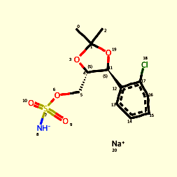 CC1(C)O[C@@H](COS([NH-])(=O)=O)[C@H](c2ccccc2Cl)O1.[Na+]